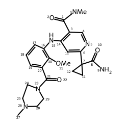 CNC(=O)c1cnc(C2(C(N)=O)CC2)cc1Nc1cccc(C(=O)N2CCN(C)CC2)c1OC